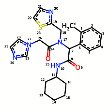 Cc1ccccc1C(C(=O)NC1CCCCC1)N(Cc1nccs1)C(=O)Cn1ccnc1